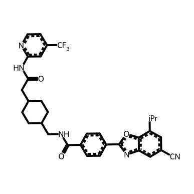 CC(C)c1cc(C#N)cc2nc(-c3ccc(C(=O)NCC4CCC(CC(=O)Nc5cc(C(F)(F)F)ccn5)CC4)cc3)oc12